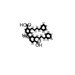 O=C(O)c1ccc(O)c(Sc2c(O)ccc(C(=O)O)c2CCCCc2ccccc2)c1CCCCc1ccccc1